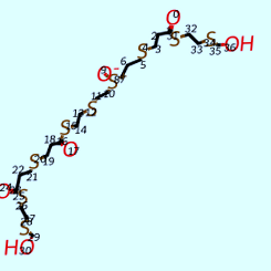 O=C(CCSCCC[S+]([O-])CCSCCSC(=O)CCSCCC(=O)SCCSCO)SCCSCO